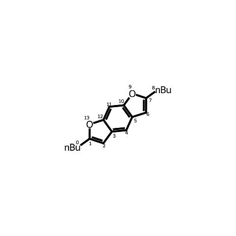 CCCCc1cc2cc3cc(CCCC)oc3cc2o1